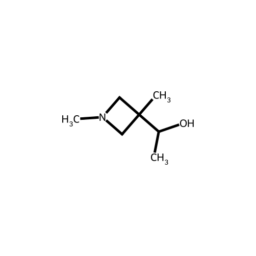 CC(O)C1(C)CN(C)C1